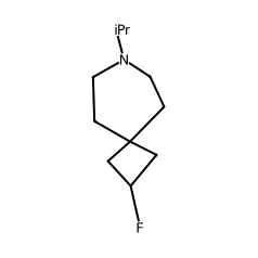 CC(C)N1CCC2(CC1)CC(F)C2